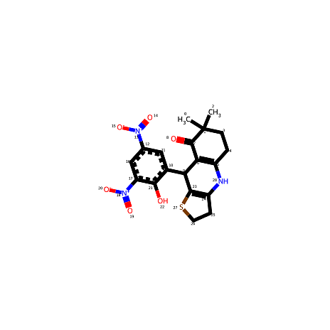 CC1(C)CCC2=C(C1=O)C(c1cc([N+](=O)[O-])cc([N+](=O)[O-])c1O)C1=C(CCS1)N2